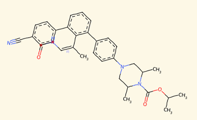 C/C(=C/NC=O)c1c(-c2ccc(C#N)cc2)cccc1-c1ccc(N2CC(C)N(C(=O)OC(C)C)C(C)C2)cc1